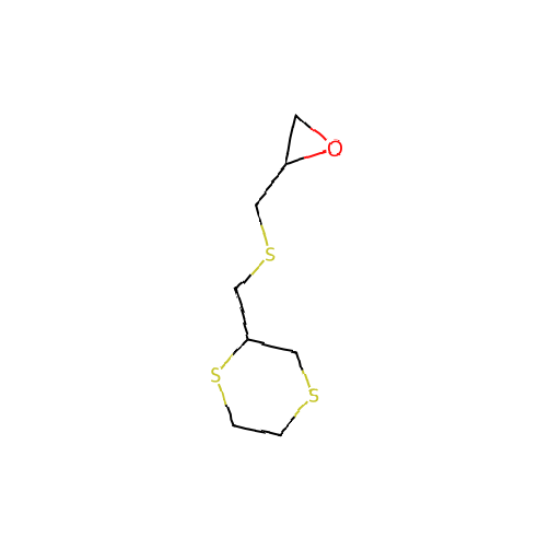 C1CSC(CSCC2CO2)CS1